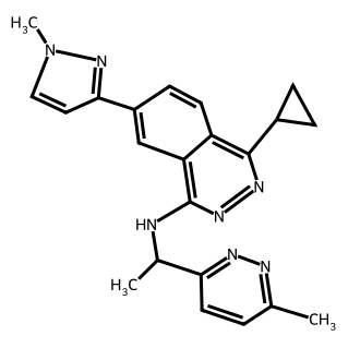 Cc1ccc(C(C)Nc2nnc(C3CC3)c3ccc(-c4ccn(C)n4)cc23)nn1